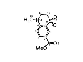 COC(=O)c1ccc2c(c1)S(=O)(=O)CCN2C